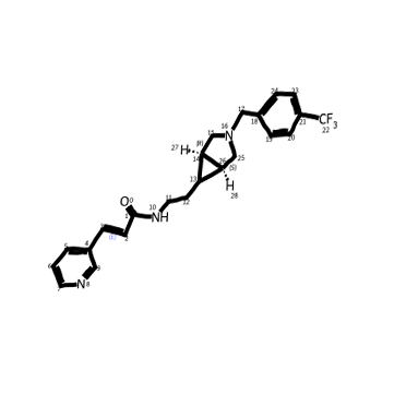 O=C(/C=C/c1cccnc1)NCCC1[C@H]2CN(Cc3ccc(C(F)(F)F)cc3)C[C@@H]12